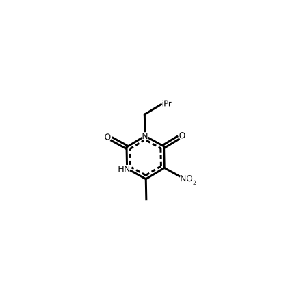 Cc1[nH]c(=O)n(CC(C)C)c(=O)c1[N+](=O)[O-]